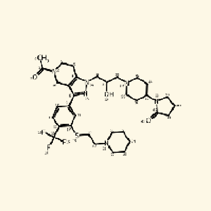 CC(=O)N1CCc2c(c(-c3ccc(C(F)(F)F)c(SCCN4CCCCC4)c3)nn2CC(O)CN2CCC(N3CCCC3=O)CC2)C1